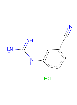 Cl.N#Cc1cccc(NC(=N)N)c1